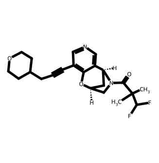 CC(C)(C(=O)N1C[C@@H]2C[C@H]1c1cncc(C#CCC3CCOCC3)c1O2)C(F)F